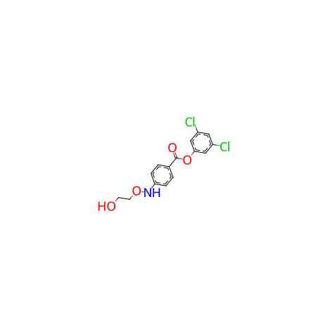 O=C(Oc1cc(Cl)cc(Cl)c1)c1ccc(NOCCO)cc1